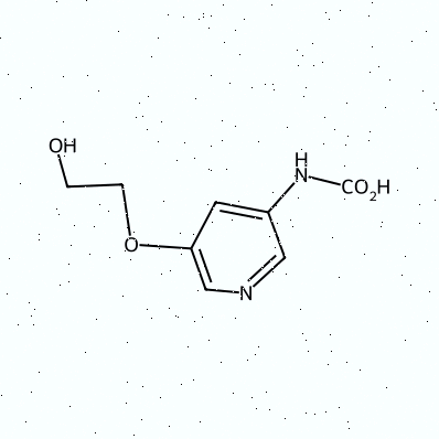 O=C(O)Nc1cncc(OCCO)c1